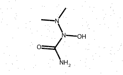 CN(C)N(O)C(N)=O